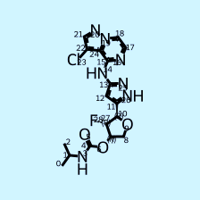 CC(C)NC(=O)O[C@@H]1CO[C@H](c2cc(Nc3nccn4ncc(Cl)c34)n[nH]2)[C@H]1F